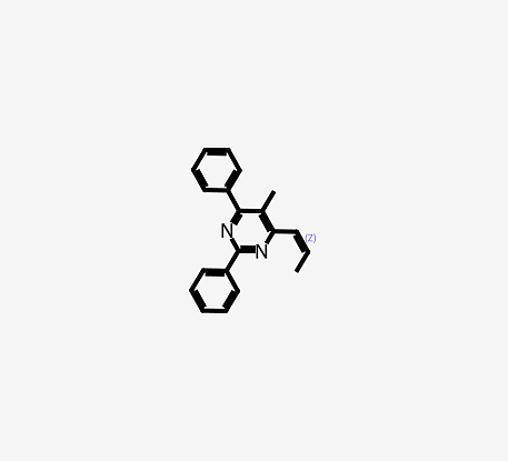 C/C=C\c1nc(-c2ccccc2)nc(-c2ccccc2)c1C